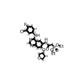 CCOP(=O)(CC(=O)Nc1cc2c(Nc3ccc(F)c(Cl)c3)ncnc2cc1O[C@@H]1CCOC1)OCC